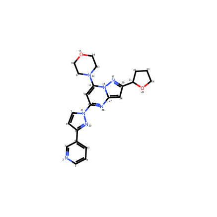 c1cncc(-c2ccn(-c3cc(N4CCOCC4)n4nc(C5CCCO5)cc4n3)n2)c1